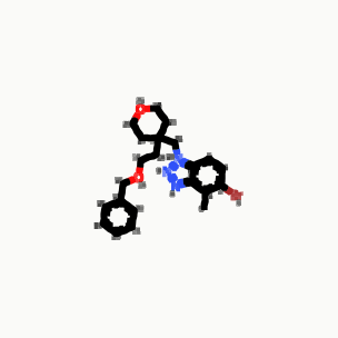 Cc1c(Br)ccc2c1nnn2CC1(CCOCc2ccccc2)CCOCC1